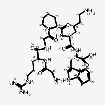 N=C(N)NCCC[C@H](NC(=O)CN)C(=O)NCC(=O)N1CCCC[C@H]1C(=O)N[C@@H](CCCCN)C(=O)N[C@@H](Cc1c[nH]c2ccccc12)C(=O)O